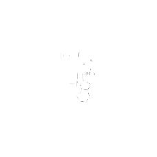 C=C(CO)[C@H]1C[C@H]2c3[nH]c4cccc(OC)c4c3CCN2C[C@H]1CC